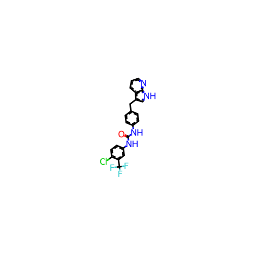 O=C(Nc1ccc(Cc2c[nH]c3ncccc23)cc1)Nc1ccc(Cl)c(C(F)(F)F)c1